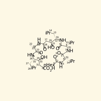 CCCCCCC(=O)N[C@H](C(=O)N[C@H](C(=O)N[C@@H](CC(C)C)[C@@H](O)CC(=O)N[C@@H](C)C(=O)N[C@@H](CC(C)C)[C@@H](O)CC(=O)O)C(C)C)C(C)C